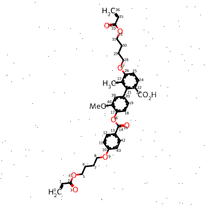 C=CC(=O)OCCCCOc1ccc(C(=O)Oc2ccc(-c3c(C(=O)O)ccc(OCCCCOC(=O)C=C)c3C)cc2OC)cc1